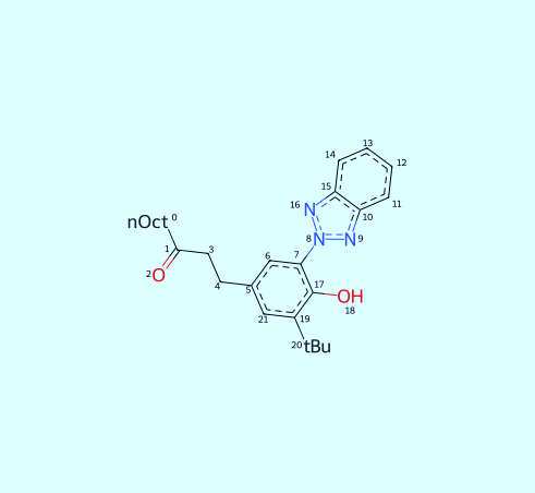 CCCCCCCCC(=O)CCc1cc(-n2nc3ccccc3n2)c(O)c(C(C)(C)C)c1